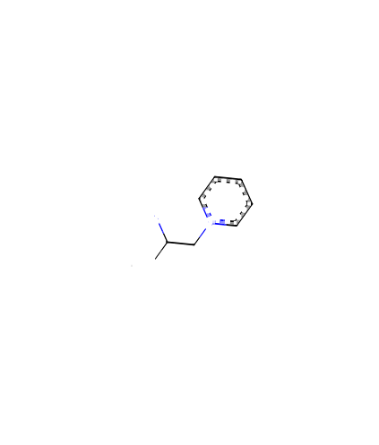 CCCCCC(N)C[n+]1ccccc1